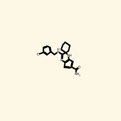 NC(=O)c1ccc2c(c1)NC1(CCCCC1)C(NCc1cccc(Cl)c1)=N2